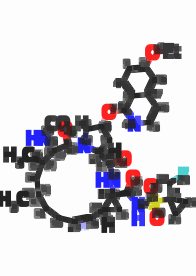 CCOc1ccc2c(O[C@@H]3C[C@H]4C(=O)N[C@]5(C(=O)NS(=O)(=O)C6(CF)CC6)C[C@H]5/C=C\CC[C@H](C)C[C@@H](C)[C@H](NC(=O)O)C(=O)N4C3)nccc2c1